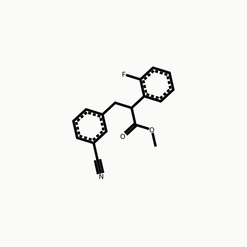 COC(=O)C(Cc1cccc(C#N)c1)c1ccccc1F